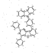 c1ccc(-c2nc(-c3ccccc3)c3oc4cccc(-c5ccc(-n6c7ccccc7c7ccccc76)cc5)c4c3n2)cc1